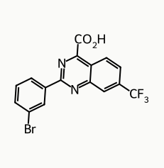 O=C(O)c1nc(-c2cccc(Br)c2)nc2cc(C(F)(F)F)ccc12